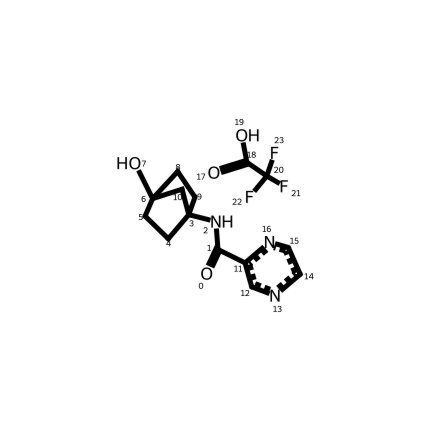 O=C(NC12CCC(O)(CC1)C2)c1cnccn1.O=C(O)C(F)(F)F